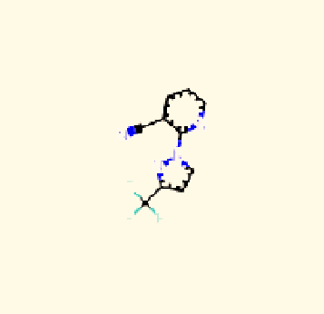 N#Cc1cccnc1-n1[c]cc(C(F)(F)F)n1